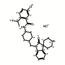 Cl.O=C(NC1CCC(CN2C(=O)C3(CCNCC3)c3ccccc32)CC1)c1cc(Cl)cnc1C(F)F